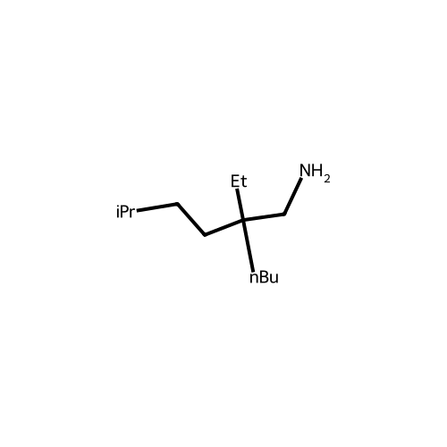 CCCCC(CC)(CN)CCC(C)C